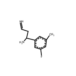 Cc1cc(F)cc(C(N)CC=N)c1